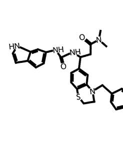 CN(C)C(=O)CC(NC(=O)Nc1ccc2cc[nH]c2c1)c1ccc2c(c1)N(Cc1ccccc1)CCS2